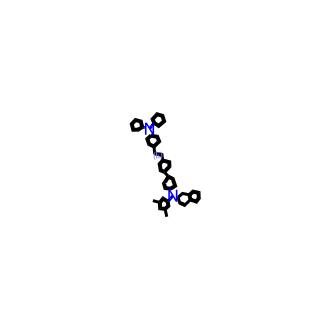 Cc1cc(C)cc(N(c2ccc(-c3ccc(/C=C/c4ccc(N(c5ccccc5)c5ccccc5)cc4)cc3)cc2)C2C=Cc3ccccc3C2)c1